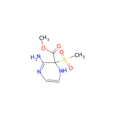 COC(=O)C1(S(C)(=O)=O)NC=CN=C1N